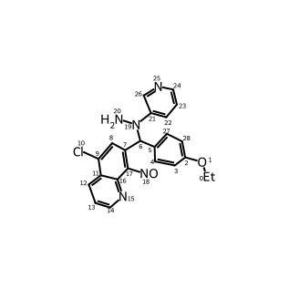 CCOc1ccc(C(c2cc(Cl)c3cccnc3c2N=O)N(N)c2cccnc2)cc1